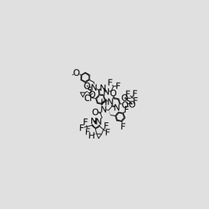 COc1ccc(CN(c2nn(CC(F)F)c3c(-n4c([C@H](Cc5cc(F)cc(F)c5)NC(=O)Cn5nc(C(F)(F)F)c6c5C(F)(F)C5C[C@@H]65)nc(OS(=O)(=O)C(F)(F)F)cc4=O)ccc(Cl)c23)S(=O)(=O)C2CC2)cc1